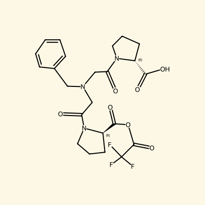 O=C(O)[C@H]1CCCN1C(=O)CN(CC(=O)N1CCC[C@@H]1C(=O)OC(=O)C(F)(F)F)Cc1ccccc1